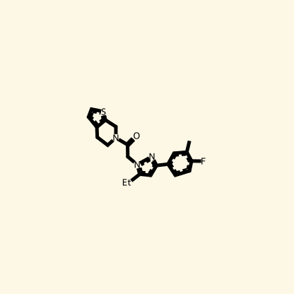 CCc1cc(-c2ccc(F)c(C)c2)nn1CC(=O)N1CCc2ccsc2C1